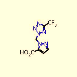 O=C(O)c1ccnn1Cn1nnc(C(F)(F)F)n1